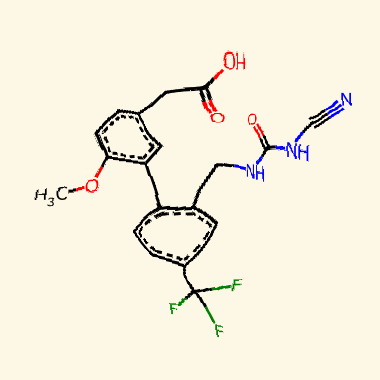 COc1ccc(CC(=O)O)cc1-c1ccc(C(F)(F)F)cc1CNC(=O)NC#N